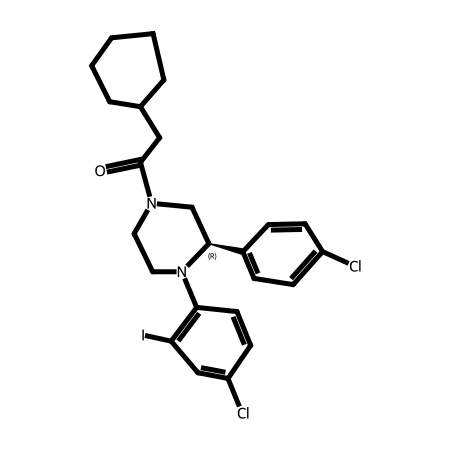 O=C(CC1CCCCC1)N1CCN(c2ccc(Cl)cc2I)[C@H](c2ccc(Cl)cc2)C1